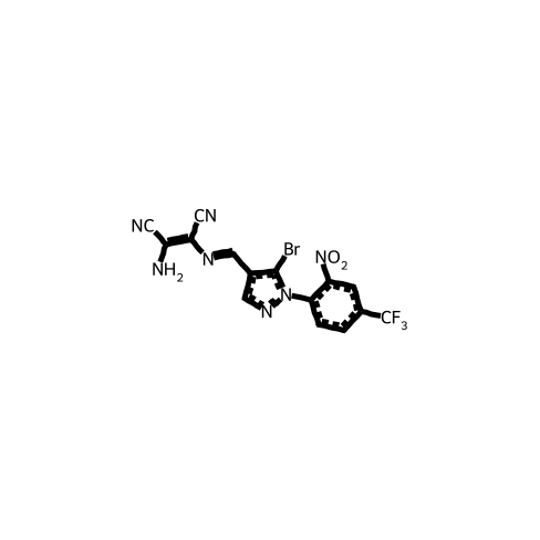 N#C/C(N)=C(C#N)/N=C/c1cnn(-c2ccc(C(F)(F)F)cc2[N+](=O)[O-])c1Br